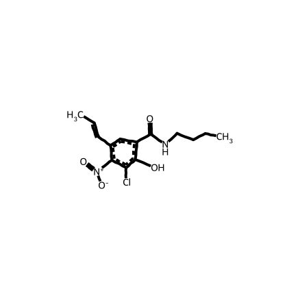 CC=Cc1cc(C(=O)NCCCC)c(O)c(Cl)c1[N+](=O)[O-]